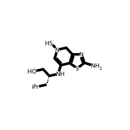 CC(C)C[C@H](CO)NC1=CN(S)Cc2nc(N)sc21